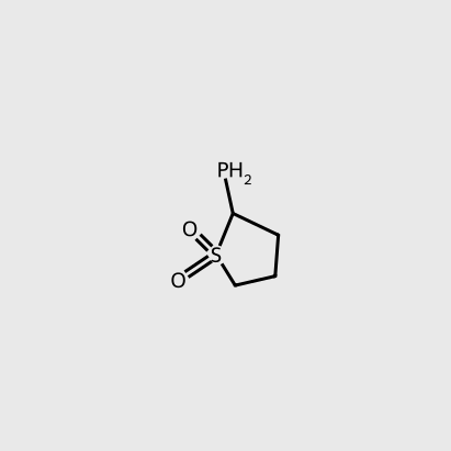 O=S1(=O)CCCC1P